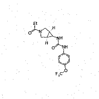 CCC(=O)N1C[C@@H]2C(NC(=O)Nc3ccc(OC(F)(F)F)cc3)[C@@H]2C1